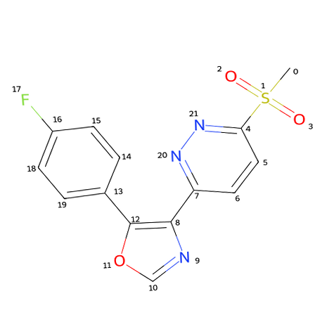 CS(=O)(=O)c1ccc(-c2ncoc2-c2ccc(F)cc2)nn1